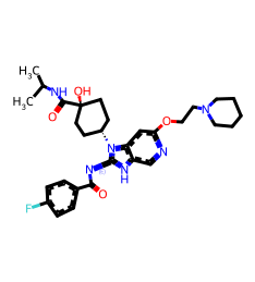 CC(C)NC(=O)[C@]1(O)CC[C@H](n2/c(=N/C(=O)c3ccc(F)cc3)[nH]c3cnc(OCCN4CCCCC4)cc32)CC1